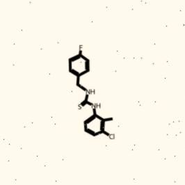 Cc1c(Cl)cccc1NC(=S)NCc1ccc(F)cc1